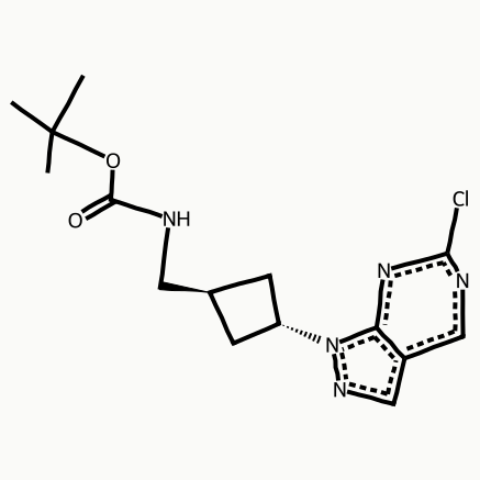 CC(C)(C)OC(=O)NC[C@H]1C[C@H](n2ncc3cnc(Cl)nc32)C1